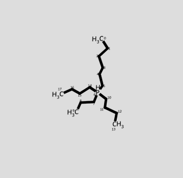 CCCCCC[PH](CCC)(CCCC)CCCC